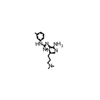 Cc1cccc(Nc2nc3c(N)ncc(CCCN(C)C)n3n2)c1